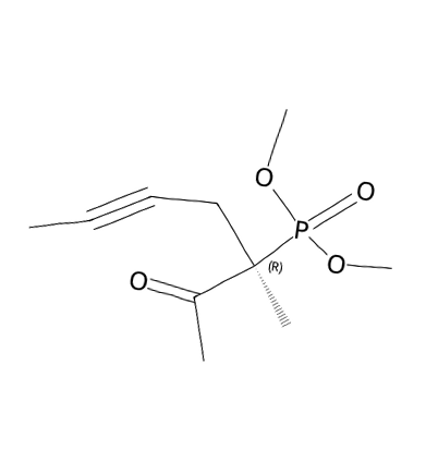 CC#CC[C@](C)(C(C)=O)P(=O)(OC)OC